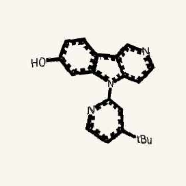 CC(C)(C)c1ccnc(-n2c3ccncc3c3ccc(O)cc32)c1